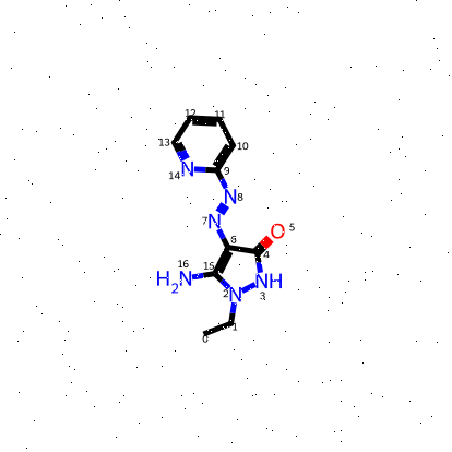 CCn1[nH]c(=O)c(/N=N/c2ccccn2)c1N